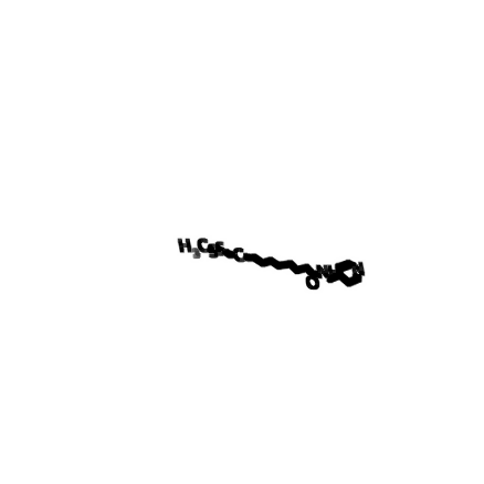 CSSCCCCCCCCCCC(=O)NCC1C=CN=CC1